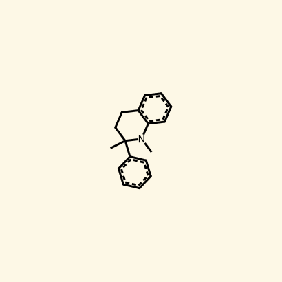 CN1c2ccccc2CCC1(C)c1ccccc1